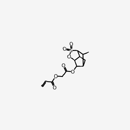 C=CC(=O)OCC(=O)OC1C2CC3C1OS(=O)(=O)C3C2C